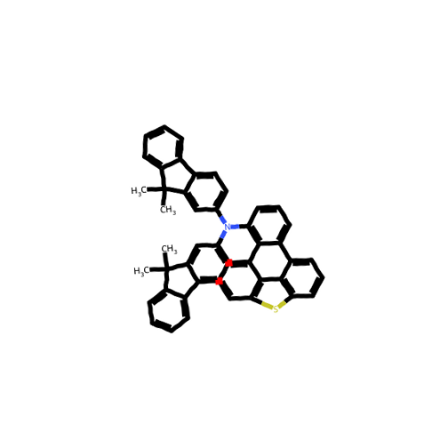 CC1(C)c2ccccc2-c2ccc(N(c3ccc4c(c3)C(C)(C)c3ccccc3-4)c3cccc4c5cccc6sc7cccc(c34)c7c65)cc21